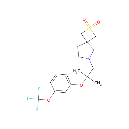 CC(C)(CN1CCC2(C1)CS(=O)(=O)C2)Oc1cccc(OC(F)(F)F)c1